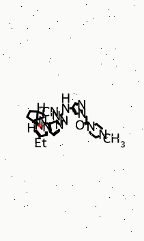 CCc1cnn(C2(CC#N)[C@@H]3CC[C@H]2CN(c2cccn4nc(Nc5cnn(CC(=O)N6CCN(C)CC6)c5)nc24)C3)c1